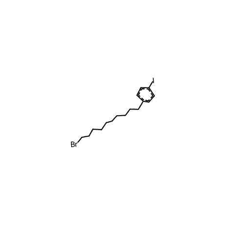 BrCCCCCCCCCCc1ccc(I)cc1